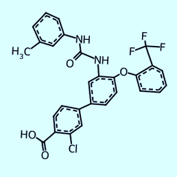 Cc1cccc(NC(=O)Nc2cc(-c3ccc(C(=O)O)c(Cl)c3)ccc2Oc2ccccc2C(F)(F)F)c1